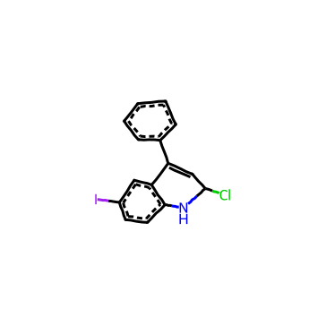 ClC1C=C(c2ccccc2)c2cc(I)ccc2N1